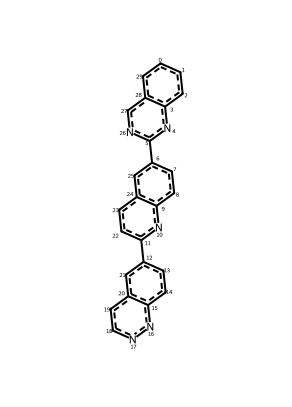 c1ccc2nc(-c3ccc4nc(-c5ccc6nnccc6c5)ccc4c3)ncc2c1